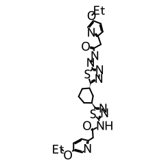 CCOc1ccc(CC(=O)N=Nc2nnc([C@H]3CCC[C@H](c4nnc(NC(=O)Cc5ccc(OCC)cn5)s4)C3)s2)nc1